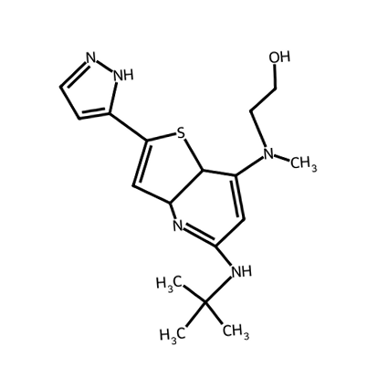 CN(CCO)C1=CC(NC(C)(C)C)=NC2C=C(c3ccn[nH]3)SC12